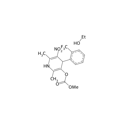 CCO.COC(=O)OC1=C(C)NC(C)=C([N+](=O)[O-])C1c1ccccc1C(F)(F)F